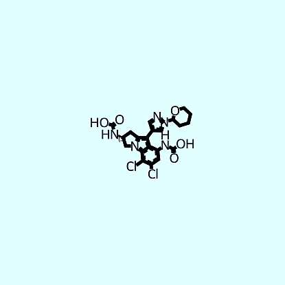 O=C(O)Nc1cc(Cl)c(Cl)c2c1c(-c1cnn(C3CCCCO3)c1)c1n2C[C@@H](NC(=O)O)C1